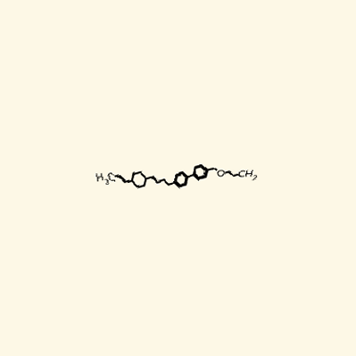 C=CCOCc1ccc(-c2ccc(CCCCC3CCC(C=CC)CC3)cc2)cc1